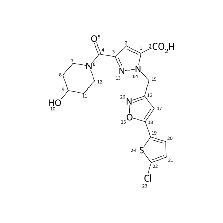 O=C(O)c1cc(C(=O)N2CCC(O)CC2)nn1Cc1cc(-c2ccc(Cl)s2)on1